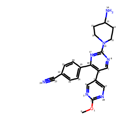 COc1ncc(-c2cnc(N3CCC(N)CC3)nc2-c2ccc(C#N)cc2)cn1